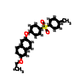 CCOc1ccc2cc(Oc3ccc(S(=O)(=O)c4ccc(C)cc4)cc3)ccc2c1